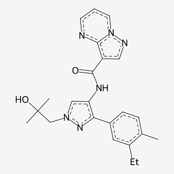 CCc1cc(-c2nn(CC(C)(C)O)cc2NC(=O)c2cnn3cccnc23)ccc1C